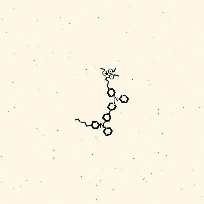 CCCCCc1ccc(N(c2ccccc2)c2ccc(-c3ccc(N(c4ccccc4)c4ccc(CCC[Si](OCC)(OCC)OCC)cc4)cc3)cc2)cc1